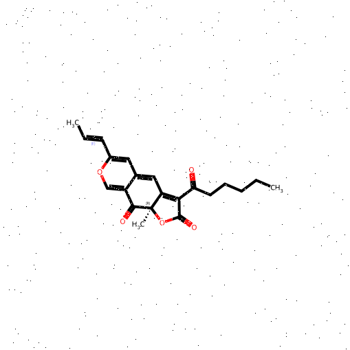 C/C=C/C1=CC2=CC3=C(C(=O)CCCCC)C(=O)O[C@@]3(C)C(=O)C2=CO1